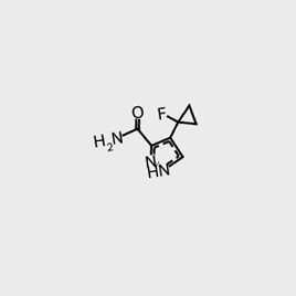 NC(=O)c1n[nH]cc1C1(F)CC1